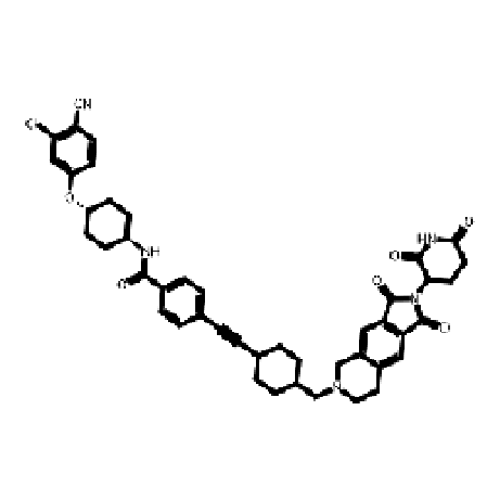 N#Cc1ccc(O[C@H]2CC[C@H](NC(=O)c3ccc(C#CC4CCC(CN5CCc6cc7c(cc6C5)C(=O)N(C5CCC(=O)NC5=O)C7=O)CC4)cc3)CC2)cc1Cl